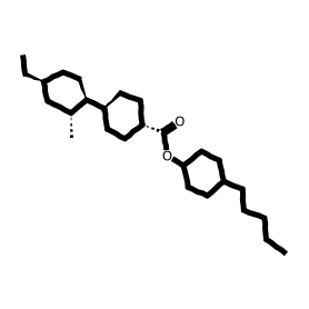 CCCCCC1CCC(OC(=O)[C@H]2CC[C@H]([C@@H]3CC[C@H](CC)C[C@H]3C)CC2)CC1